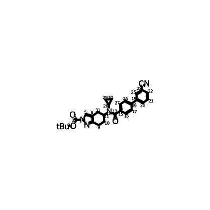 CC(C)(C)OC(=O)n1cc2c(n1)CCC(N(C(=O)c1ccc(-c3cccc(C#N)c3)cc1)C1CC1)C2